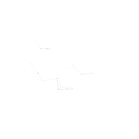 CC(C)=CC(C)(C)Cc1ccc(C)cc1